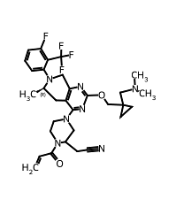 C=CC(=O)N1CCN(c2nc(OCC3(CN(C)C)CC3)nc3c2C[C@@H](C)N(c2cccc(F)c2C(F)(F)F)C3)CC1CC#N